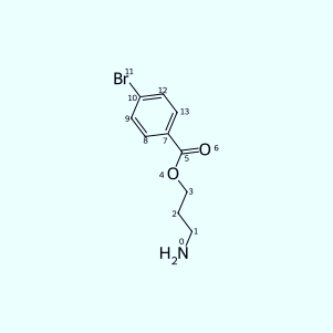 NCCCOC(=O)c1ccc(Br)cc1